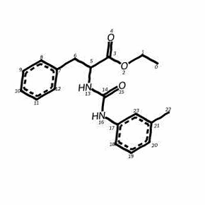 CCOC(=O)C(Cc1ccccc1)NC(=O)Nc1cccc(C)c1